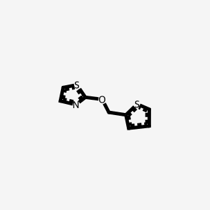 c1csc(COc2nccs2)c1